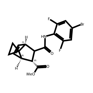 COC(=O)[C@H]1C(C(=O)Nc2c(F)cc(Br)cc2F)[C@@H]2C=C[C@H]1C21CC1